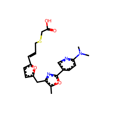 Cc1oc(-c2ccc(N(C)C)nc2)nc1Cc1ccc(C=CCSCC(=O)O)o1